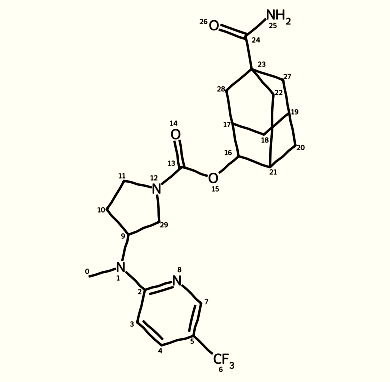 CN(c1ccc(C(F)(F)F)cn1)C1CCN(C(=O)OC2C3CC4CC2CC(C(N)=O)(C4)C3)C1